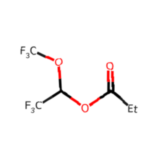 CCC(=O)OC(OC(F)(F)F)C(F)(F)F